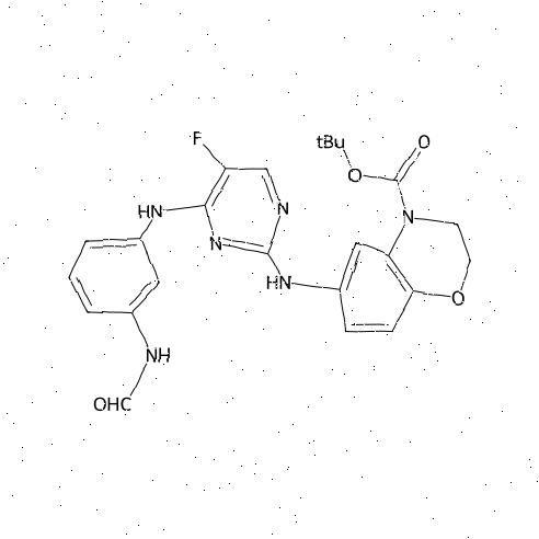 CC(C)(C)OC(=O)N1CCOc2ccc(Nc3ncc(F)c(Nc4cccc(NC=O)c4)n3)cc21